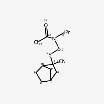 CC(C)N(SSC1(C#N)CC2CCC1C2)C(=O)Cl